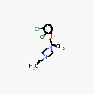 C=CCN1CCN(C(=C)COc2cccc(Cl)c2Cl)CC1